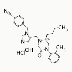 CCCC[C@H]1CN(c2ccccc2C)C(=O)CN1Cc1cncn1Cc1ccc(C#N)cc1.Cl.Cl